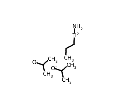 CC(C)[O-].CC(C)[O-].CC[CH2][Ti+2][NH2]